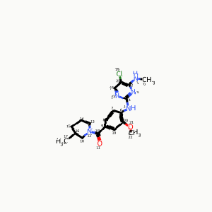 CNc1nc(Nc2ccc(C(=O)N3CCCC(C)C3)cc2OC)ncc1Cl